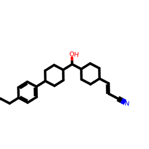 CCCc1ccc(C2CCC(C(O)C3CCC(C=CC#N)CC3)CC2)cc1